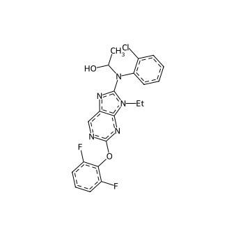 CCn1c(N(c2ccccc2Cl)C(C)O)nc2cnc(Oc3c(F)cccc3F)nc21